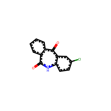 O=c1[nH]c2ccc(Cl)cc2c(=O)c2ccccc12